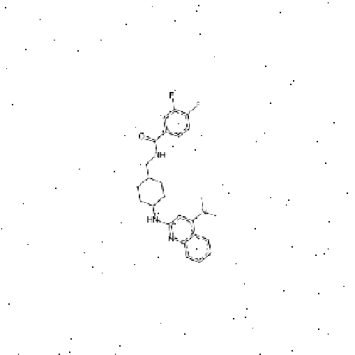 CN(C)c1cc(NC2CCC(CNC(=O)c3ccc(F)c(F)c3)CC2)nc2ccccc12